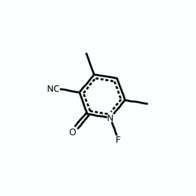 Cc1cc(C)n(F)c(=O)c1C#N